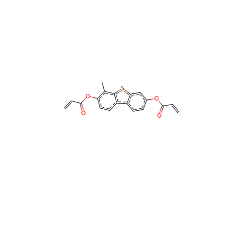 C=CC(=O)Oc1ccc2c(c1)sc1c(C)c(OC(=O)C=C)ccc12